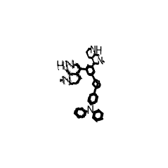 CN1CC2NCCCC2C(c2cc(C3CNCC4C3CCCN4C)cc(C34CCC(c5ccc(N(c6ccccc6)c6ccccc6)cc5)(C3)C4)c2)C1